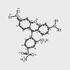 CCN(CC)c1ccc2c(-c3ccc(S(N)(=O)=O)cc3S(=O)(=O)O)c3ccc(=[N+](CC)CC)cc-3oc2c1